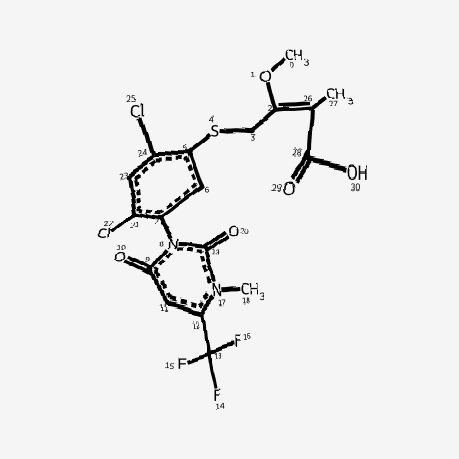 COC(CSc1cc(-n2c(=O)cc(C(F)(F)F)n(C)c2=O)c(Cl)cc1Cl)=C(C)C(=O)O